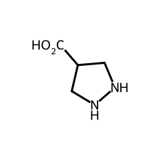 O=C(O)C1CNNC1